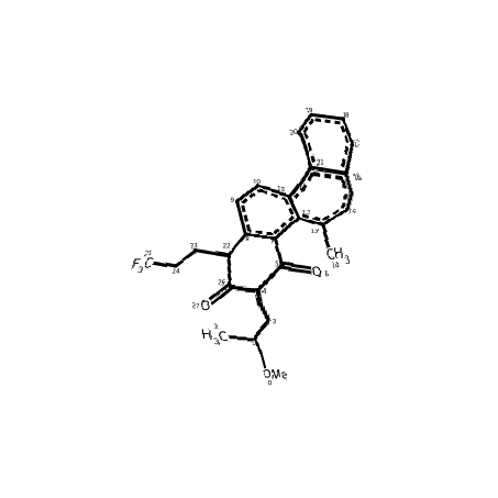 COC(C)CC1C(=O)c2c(ccc3c2c(C)cc2ccccc23)C(CCC(F)(F)F)C1=O